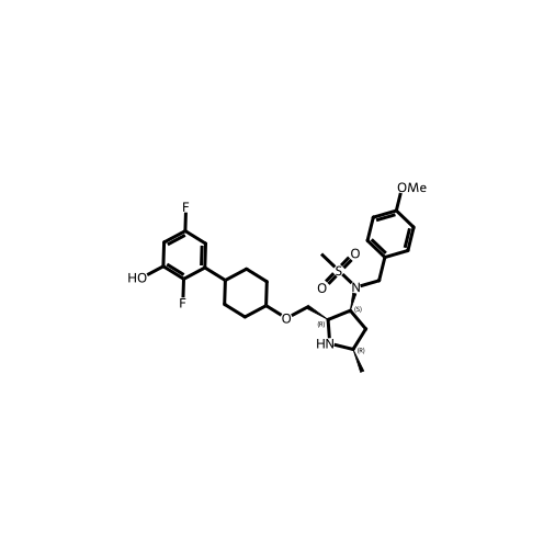 COc1ccc(CN([C@H]2C[C@@H](C)N[C@H]2COC2CCC(c3cc(F)cc(O)c3F)CC2)S(C)(=O)=O)cc1